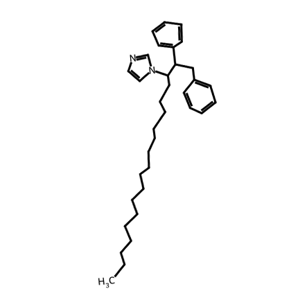 CCCCCCCCCCCCCCCCC(C(Cc1ccccc1)c1ccccc1)n1ccnc1